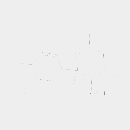 CC1=C(C(=O)O)C(C)(c2ccc(Cl)c(Cl)c2)CC(C)C1